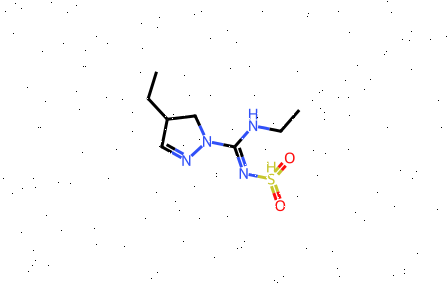 CCN/C(=N\[SH](=O)=O)N1CC(CC)C=N1